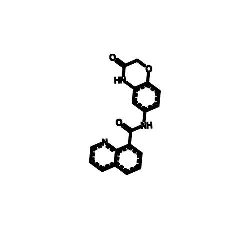 O=C1COc2ccc(NC(=O)c3cccc4cccnc34)cc2N1